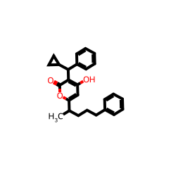 CC(CCCc1ccccc1)c1cc(O)c(C(c2ccccc2)C2CC2)c(=O)o1